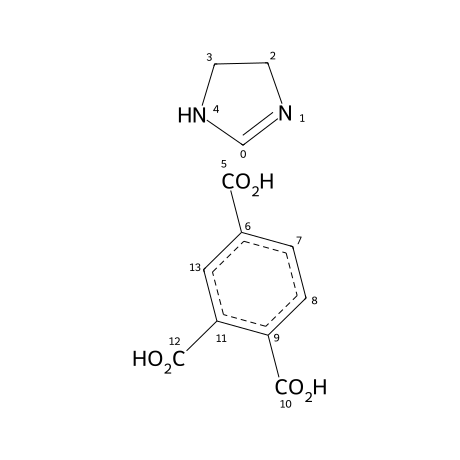 C1=NCCN1.O=C(O)c1ccc(C(=O)O)c(C(=O)O)c1